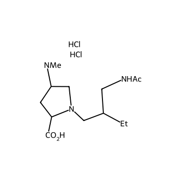 CCC(CNC(C)=O)CN1CC(NC)CC1C(=O)O.Cl.Cl